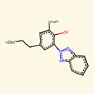 CCCCCCCCCCCCc1cc(CCCCCCCCC)c(O)c(-n2nc3ccccc3n2)c1